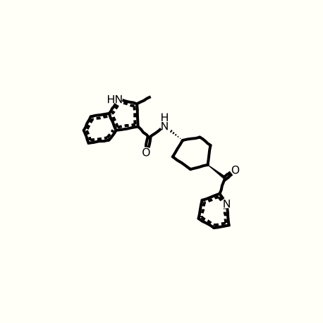 Cc1[nH]c2ccccc2c1C(=O)N[C@H]1CC[C@H](C(=O)c2ccccn2)CC1